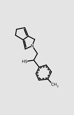 Cc1ccc(C(S)CN2C=C3CCC=C3C2)cc1